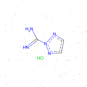 Cl.N=C(N)n1nccn1